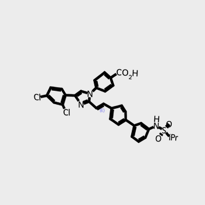 CC(C)S(=O)(=O)Nc1cccc(-c2ccc(/C=C/c3nc(-c4ccc(Cl)cc4Cl)cn3-c3ccc(C(=O)O)cc3)cc2)c1